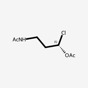 CC(=O)NCC[C@H](Cl)OC(C)=O